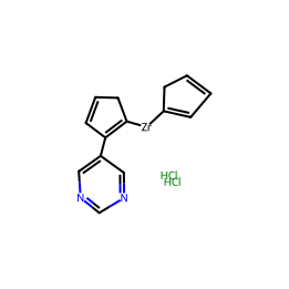 C1=CC[C]([Zr][C]2=C(c3cncnc3)C=CC2)=C1.Cl.Cl